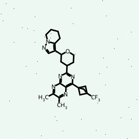 Cc1nc2nc(C3CCOC(c4cnn5c4CCCC5)C3)nc(C34CC(C(F)(F)F)(C3)C4)c2nc1C